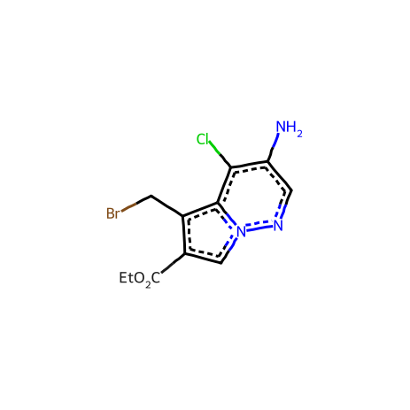 CCOC(=O)c1cn2ncc(N)c(Cl)c2c1CBr